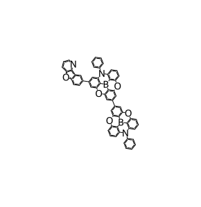 c1ccc(N2c3cccc4c3B3c5c(cc(-c6cc7c8c(c6)Oc6cc(-c9ccc%10oc%11cccnc%11c%10c9)cc9c6B8c6c(cccc6N9c6ccccc6)O7)cc5Oc5cccc2c53)O4)cc1